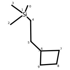 C[Si](C)(C)CC[C]1CCC1